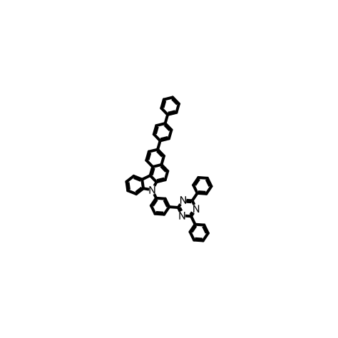 c1ccc(-c2ccc(-c3ccc4c(ccc5c4c4ccccc4n5-c4cccc(-c5nc(-c6ccccc6)nc(-c6ccccc6)n5)c4)c3)cc2)cc1